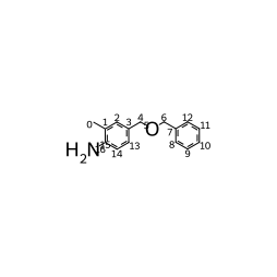 Cc1cc(COCc2ccccc2)ccc1N